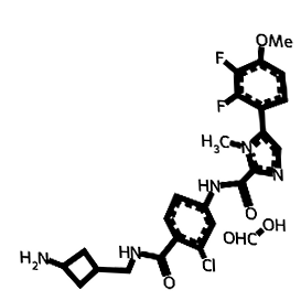 COc1ccc(-c2cnc(C(=O)Nc3ccc(C(=O)NCC4CC(N)C4)c(Cl)c3)n2C)c(F)c1F.O=CO